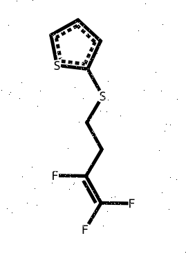 FC(F)=C(F)CCSc1cccs1